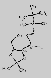 CCC1OC(C)(C)O[C@@H]1[C@@H](C)CO[Si](C)(C)C(C)(C)C